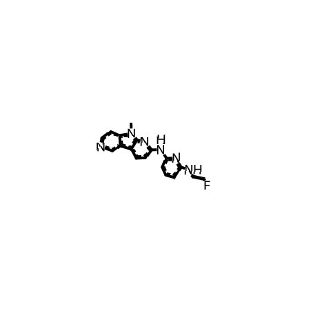 Cn1c2ccncc2c2ccc(Nc3cccc(NCCF)n3)nc21